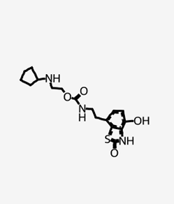 O=C(NCCc1ccc(O)c2[nH]c(=O)sc12)OCCNC1CCCC1